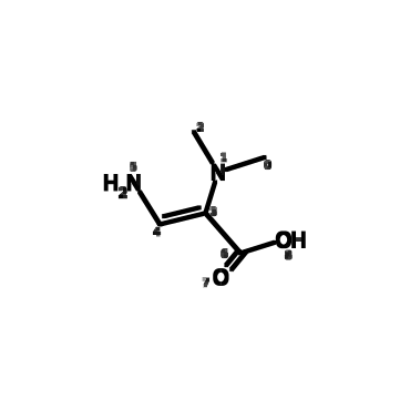 CN(C)/C(=C\N)C(=O)O